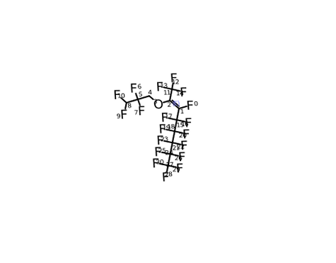 F/C(=C(/OCC(F)(F)C(F)F)C(F)(F)F)C(F)(F)C(F)(F)C(F)(F)C(F)(F)C(F)(F)F